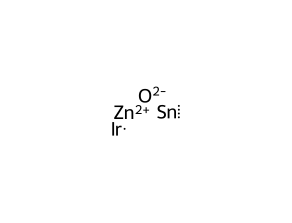 [Ir].[O-2].[Sn].[Zn+2]